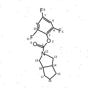 O=C(Oc1c(F)cc(F)cc1F)N1CC2CCCC2C1